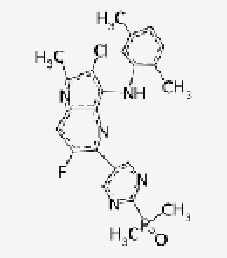 Cc1ccc(C)c(Nc2c(Cl)c(C)nc3cc(F)c(-c4cnc(P(C)(C)=O)nc4)nc23)c1